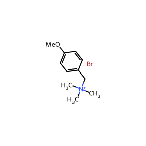 COc1ccc(C[N+](C)(C)C)cc1.[Br-]